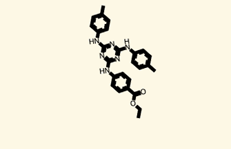 CCOC(=O)c1ccc(Nc2nc(Nc3ccc(C)cc3)nc(Nc3ccc(C)cc3)n2)cc1